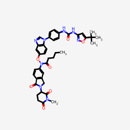 [CH2]N1C(=O)CCC(N2Cc3cc(N(Oc4ccc5c(c4)ncn5-c4ccc(NC(=O)Nc5cc(C(C)(C)C)on5)cc4)C(=O)CCCC)ccc3C2=O)C1=O